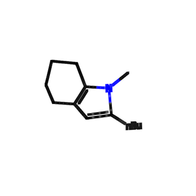 CCCCc1cc2c(n1C)CCCC2